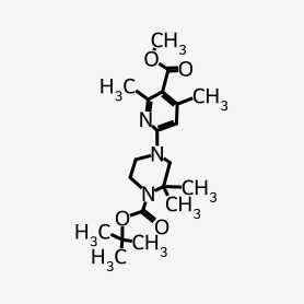 COC(=O)c1c(C)cc(N2CCN(C(=O)OC(C)(C)C)C(C)(C)C2)nc1C